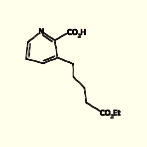 CCOC(=O)CCCCc1cccnc1C(=O)O